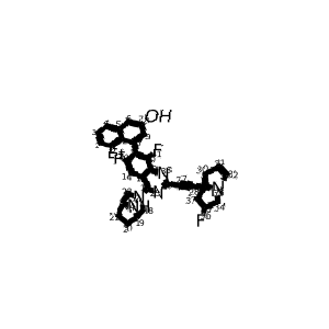 CCc1cccc2cc(O)cc(-c3c(F)cc4c(N5CC6CCC(C5)N6)nc(C#CC56CCCN5CC(F)C6)nc4c3F)c12